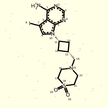 Nc1ncnc2c1c(I)cn2[C@H]1C[C@@H](CN2CCS(=O)(=O)CC2)C1